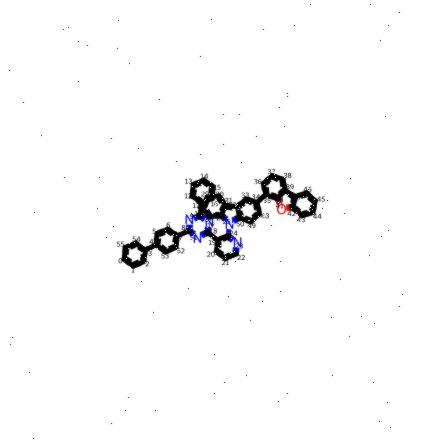 c1ccc(-c2ccc(-c3nc(-c4ccccc4)nc(-c4cccnc4-n4c5ccccc5c5cc(-c6cccc7c6oc6ccccc67)ccc54)n3)cc2)cc1